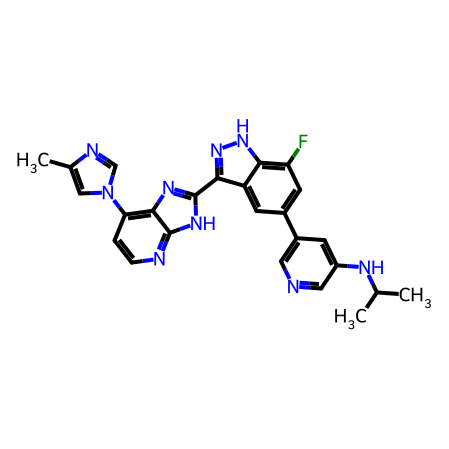 Cc1cn(-c2ccnc3[nH]c(-c4n[nH]c5c(F)cc(-c6cncc(NC(C)C)c6)cc45)nc23)cn1